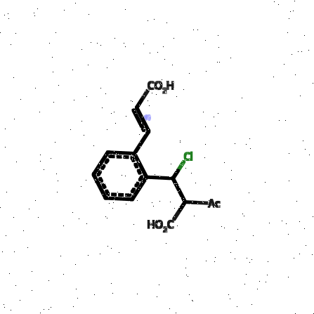 CC(=O)C(C(=O)O)C(Cl)c1ccccc1/C=C/C(=O)O